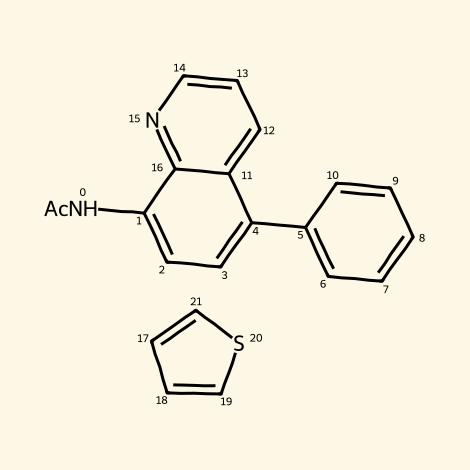 CC(=O)Nc1ccc(-c2ccccc2)c2cccnc12.c1ccsc1